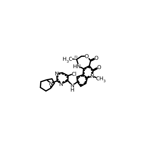 C[C@H]1COC(=O)c2c(c3cc(Nc4nc(N5C6CCCC5CC6)ncc4Cl)ccc3n(C)c2=O)N1